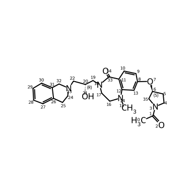 CC(=O)N1CC[C@H](Oc2ccc3c(c2)N(C)CCN(C[C@H](O)CN2CCc4ccccc4C2)C3=O)C1